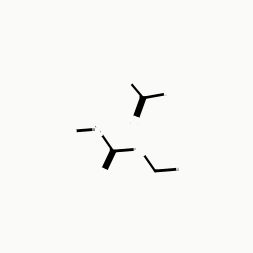 CC(=O)O.CCOC(=O)NC